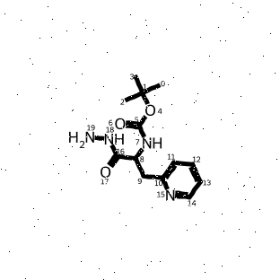 CC(C)(C)OC(=O)NC(Cc1ccccn1)C(=O)NN